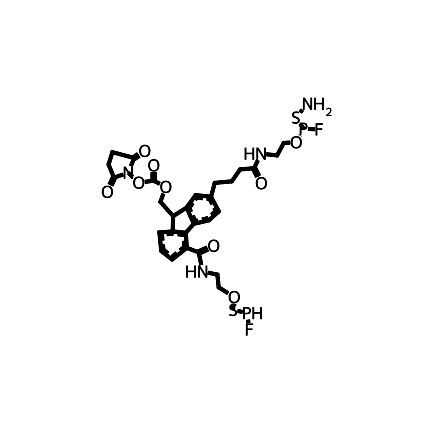 NSP(F)OCCNC(=O)CCCc1ccc2c(c1)C(COC(=O)ON1C(=O)CCC1=O)c1cccc(C(=O)NCCOSPF)c1-2